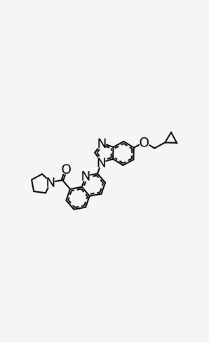 O=C(c1cccc2ccc(-n3cnc4cc(OCC5CC5)ccc43)nc12)N1CCCC1